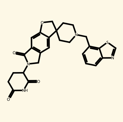 O=C1CCC(N2Cc3cc4c(cc3C2=O)OCC42CCN(Cc3cccc4ncsc34)CC2)C(=O)N1